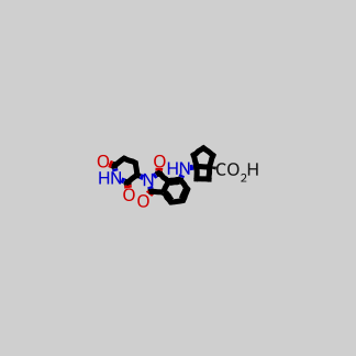 O=C1CCC(N2C(=O)c3cccc(NC45CCC[C@]4(C(=O)O)CC5)c3C2=O)C(=O)N1